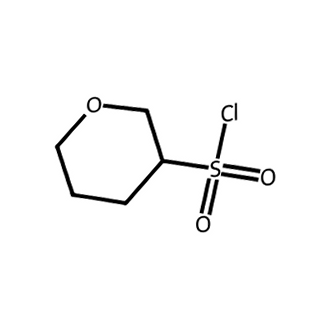 O=S(=O)(Cl)C1CCCOC1